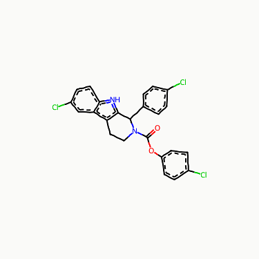 O=C(Oc1ccc(Cl)cc1)N1CCc2c([nH]c3ccc(Cl)cc23)C1c1ccc(Cl)cc1